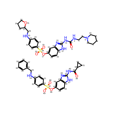 O=C(NCCN1CCCCC1)Nc1nc2cc(OS(=O)(=O)c3ccc(NCC4CCCO4)cc3)ccc2[nH]1.O=C(Nc1nc2cc(OS(=O)(=O)c3ccc(NCc4ccccc4)cc3)ccc2[nH]1)C1CC1